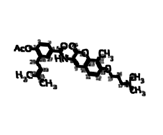 CC(=O)Oc1ccc(C(=O)Nc2cc3ccc(OCCCN(C)C)c(C)c3oc2=O)cc1CC=C(C)C